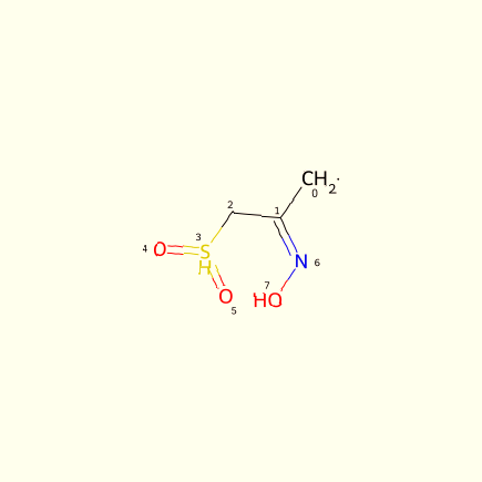 [CH2]C(C[SH](=O)=O)=NO